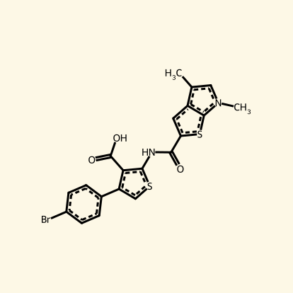 Cc1cn(C)c2sc(C(=O)Nc3scc(-c4ccc(Br)cc4)c3C(=O)O)cc12